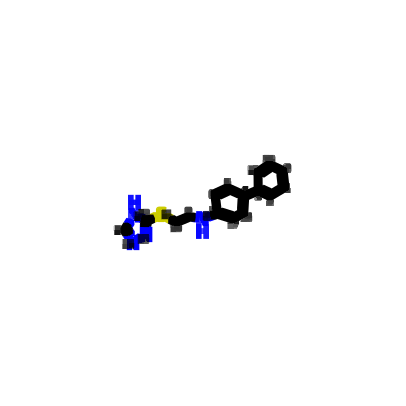 c1ccc(-c2ccc(NCCSc3nnc[nH]3)cc2)cc1